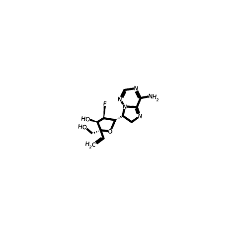 C=C[C@]1(CO)O[C@@H](C2CN=C3C(N)=NC=NN32)[C@H](F)[C@@H]1O